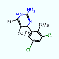 CCOC(=O)C1=C(CC)NC(N)=NC1c1cc(Cl)cc(Cl)c1OC